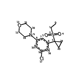 CCS(=O)(=O)C1(c2cc(N3CCOCC3)nc(Cl)n2)CC1